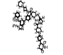 CC(C)n1cnc2cc(-c3ccc4c(c3)N([C@H]3C[C@@H](N5CCCCC5)C3)C(=O)C43CCN(CC4[C@H]5CCN(C(=O)C6CCN(c7ccc(C8CCC(=O)NC8=O)cn7)CC6)[C@@H]45)CC3)nc(Nc3ccccc3F)c21